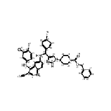 N#Cc1cnc2ccc(NC(C3=CN(C4CCN(C(=O)OCc5ccccc5)CC4)NN3)c3ccc(F)cc3)cc2c1Nc1ccc(F)c(Cl)c1